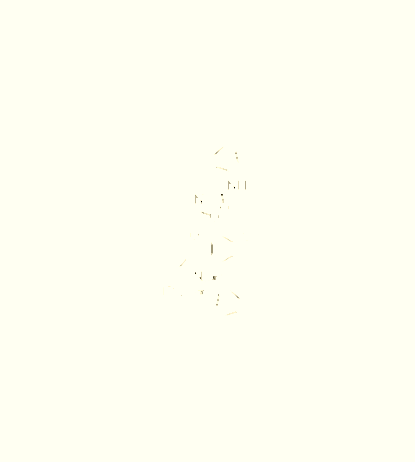 Cc1ccccc1S(=O)(=O)N1C(C(C)(C)C)C=C(COCC(=O)N[C@H](Cc2ccccc2)C(N)=O)[C@@H]1c1ccc(Cl)cc1